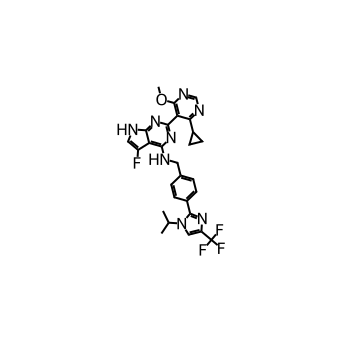 COc1ncnc(C2CC2)c1-c1nc(NCc2ccc(-c3nc(C(F)(F)F)cn3C(C)C)cc2)c2c(F)c[nH]c2n1